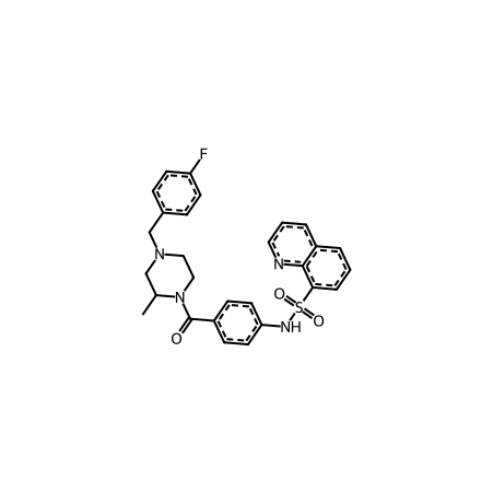 CC1CN(Cc2ccc(F)cc2)CCN1C(=O)c1ccc(NS(=O)(=O)c2cccc3cccnc23)cc1